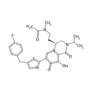 CC(=O)N(C)CC[C@H]1CN(C(C)C)C(=O)c2c(O)c(=O)c(-c3ncc(Cc4ccc(F)cc4)s3)cn21